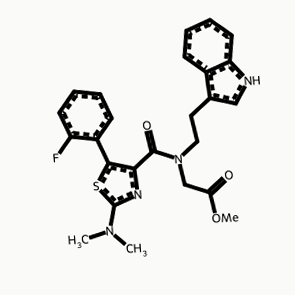 COC(=O)CN(CCc1c[nH]c2ccccc12)C(=O)c1nc(N(C)C)sc1-c1ccccc1F